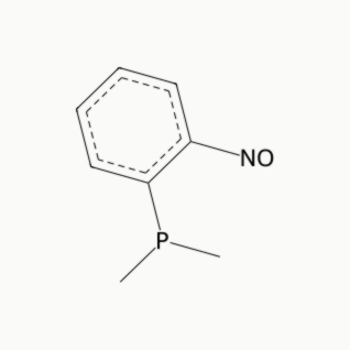 CP(C)c1ccccc1N=O